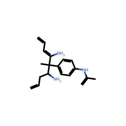 C=C/C=C(\N)C(C)(c1ccc(NC(=C)C)cc1)C(N)CC=C